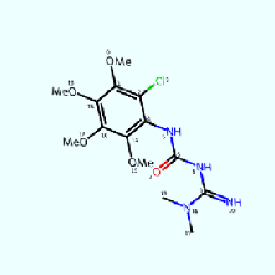 COc1c(Cl)c(NC(=O)NC(=N)N(C)C)c(OC)c(OC)c1OC